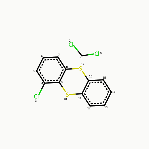 ClCCl.Clc1cccc2c1Sc1ccccc1S2